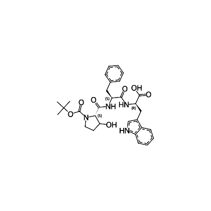 CC(C)(C)OC(=O)N1CCC(O)[C@H]1C(=O)N[C@@H](Cc1ccccc1)C(=O)N[C@H](Cc1c[nH]c2ccccc12)C(=O)O